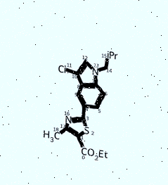 CCOC(=O)c1sc(-c2ccc3c(c2)c(Cl)cn3CC(C)C)nc1C